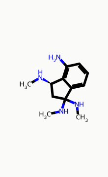 CN[C@@H]1CC(NC)(NC)c2cccc(N)c21